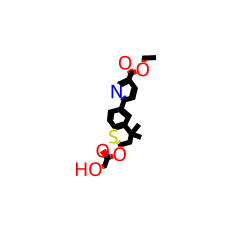 CCOC(=O)c1ccc(-c2ccc3c(c2)C(C)(C)CC(OC(=O)CO)S3)nc1